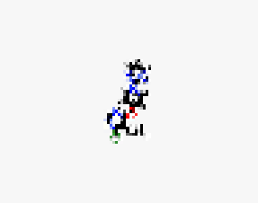 Cc1c(Cl)ncnc1OC1CCN(c2ncccn2)CC1